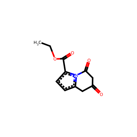 CCOC(=O)c1ccc2n1C(=O)CC(=O)C2